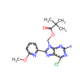 COc1cccc(-c2nc3c(Cl)nc(I)nc3n2COC(=O)C(C)(C)C)n1